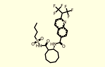 CCCCS(=O)(=O)NC(=O)C1CCCCCC[C@@H]1NC(=O)c1ccc2nc(C(C(F)(F)F)C(F)(F)F)ccc2c1